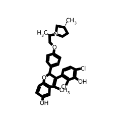 CC1=C(c2ccc(Cl)c(O)c2Cl)C(c2ccc(OC[C@H](C)N3CC[C@@H](C)C3)cc2)Oc2ccc(O)cc21